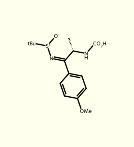 COc1ccc(/C(=N/[S+]([O-])C(C)(C)C)[C@H](C)NC(=O)O)cc1